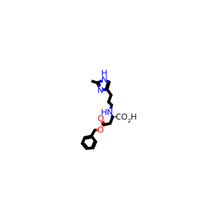 Cc1nc(CCCN[C@@H](CC(=O)OCc2ccccc2)C(=O)O)c[nH]1